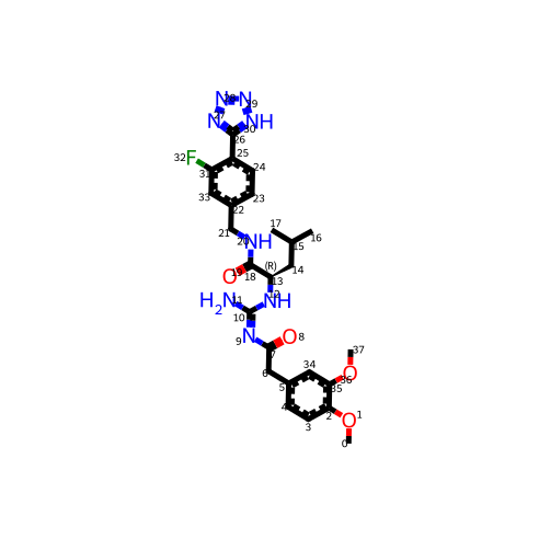 COc1ccc(CC(=O)N=C(N)N[C@H](CC(C)C)C(=O)NCc2ccc(-c3nnn[nH]3)c(F)c2)cc1OC